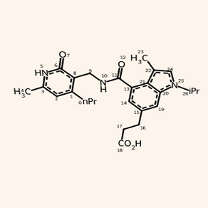 CCCc1cc(C)[nH]c(=O)c1CNC(=O)c1cc(CCC(=O)O)cc2c1c(C)cn2C(C)C